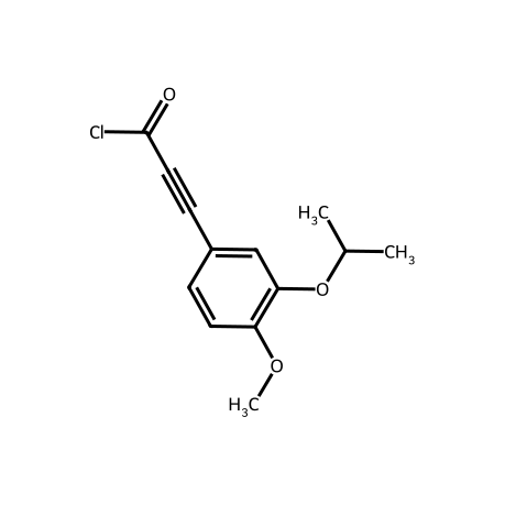 COc1ccc(C#CC(=O)Cl)cc1OC(C)C